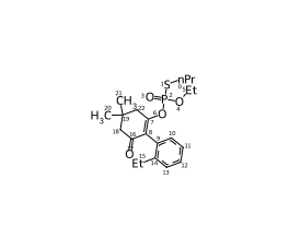 CCCSP(=O)(OCC)OC1=C(c2ccccc2CC)C(=O)CC(C)(C)C1